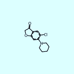 O=C1COc2cc(N3CCCCC3)c(Cl)cc21